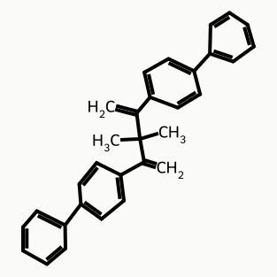 C=C(c1ccc(-c2ccccc2)cc1)C(C)(C)C(=C)c1ccc(-c2ccccc2)cc1